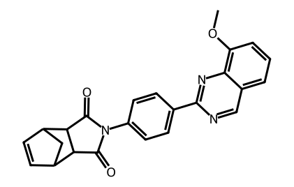 COc1cccc2cnc(-c3ccc(N4C(=O)C5C6C=CC(C6)C5C4=O)cc3)nc12